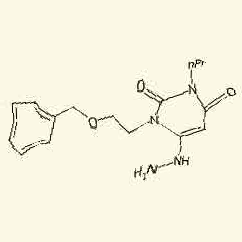 CCCn1c(=O)cc(NN)n(CCOCc2ccccc2)c1=O